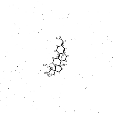 CCCC(C(=O)O)[C@@]1(CC#N)CC[C@H]2[C@@H]3CCC4=C/C(=N/OC(C)=O)CCC4=C3CC[C@@]21C